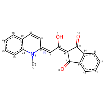 CCN1/C(=C/C(O)=C2C(=O)c3ccccc3C2=O)C=Cc2ccccc21